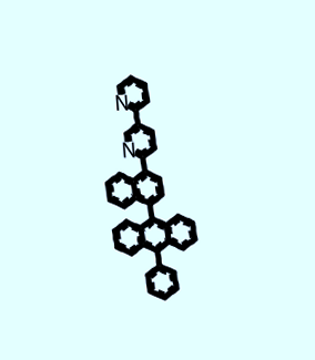 c1ccc(-c2c3ccccc3c(-c3ccc(-c4ccc(-c5ccccn5)cn4)c4ccccc34)c3ccccc23)cc1